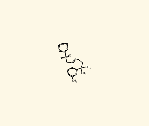 Cc1ccc2c(c1)C(C)(C)CCC=C2CS(=O)(=O)c1ccccc1